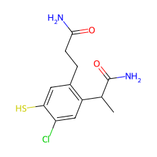 CC(C(N)=O)c1cc(Cl)c(S)cc1CCC(N)=O